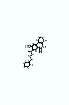 CC(CCCc1ccccc1)c1cc2c(cc1O)C1=C(CCCC1)CN2